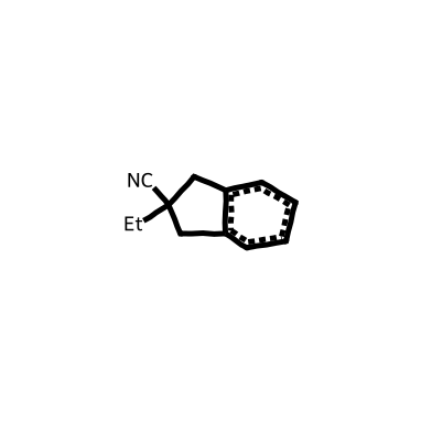 CCC1(C#N)Cc2ccccc2C1